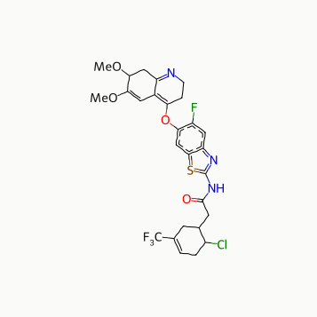 COC1=CC2=C(Oc3cc4sc(NC(=O)CC5CC(C(F)(F)F)=CCC5Cl)nc4cc3F)CCN=C2CC1OC